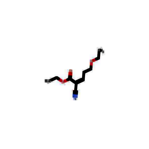 CCOCCC=C(C#N)C(=O)OCC